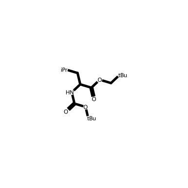 CC(C)CC(NC(=O)OC(C)(C)C)C(=O)OCC(C)(C)C